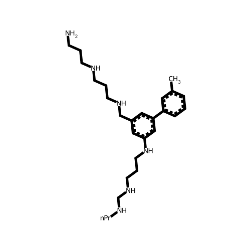 CCCNCNCCCNc1cc(CNCCCNCCCN)cc(-c2cccc(C)c2)c1